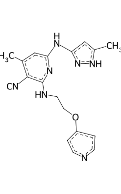 [C-]#[N+]c1c(C)cc(Nc2cc(C)[nH]n2)nc1NCCOc1ccncc1